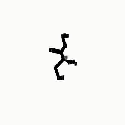 CC(C)(C)OC(=O)[C@H](N)CO